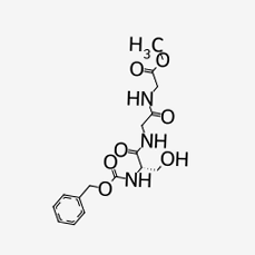 COC(=O)CNC(=O)CNC(=O)[C@H](CO)NC(=O)OCc1ccccc1